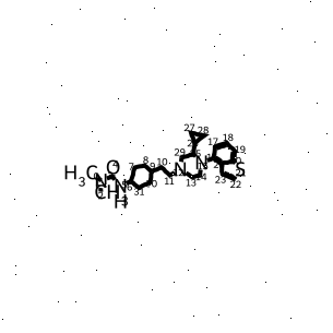 CN(C)C(=O)NC1CCC(CCN2CCN(c3cccc4sccc34)C(C3CC3)C2)CC1